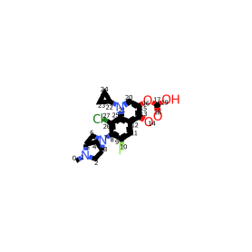 CN1CC2CC1CN2c1c(F)cc2c(=O)c(OC(=O)O)cn(C3CC3)c2c1Cl